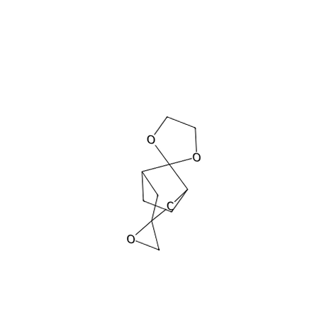 C1COC2(O1)C1CCC2CC2(CO2)C1